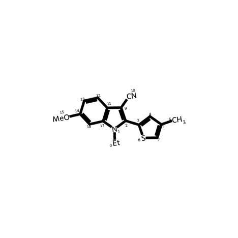 CCn1c(-c2cc(C)cs2)c(C#N)c2ccc(OC)cc21